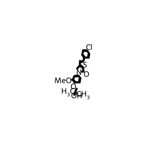 COc1cc(N2Cc3cc(-c4ccc(Cl)cc4)sc3C2=O)ccc1OCC(C)(C)O